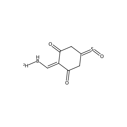 [2H]BC=C1C(=O)CC(=S=O)CC1=O